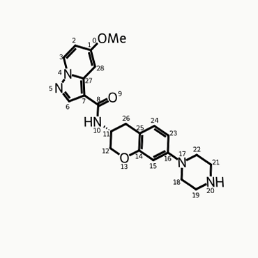 COc1ccn2ncc(C(=O)N[C@H]3COc4cc(N5CCNCC5)ccc4C3)c2c1